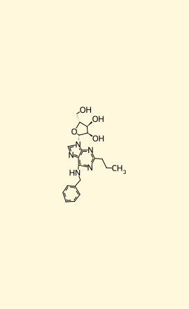 CCCc1nc(NCc2ccccc2)c2ncn([C@@H]3O[C@H](CO)[C@@H](O)[C@H]3O)c2n1